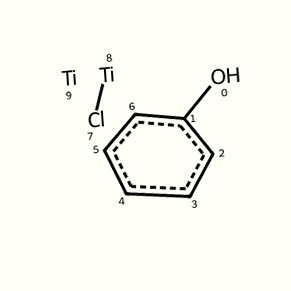 Oc1ccccc1.[Cl][Ti].[Ti]